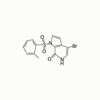 Cc1ccccc1S(=O)(=O)n1ccc2c(Br)c[nH]c(=O)c21